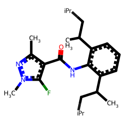 Cc1nn(C)c(F)c1C(=O)Nc1c(C(C)CC(C)C)cccc1C(C)CC(C)C